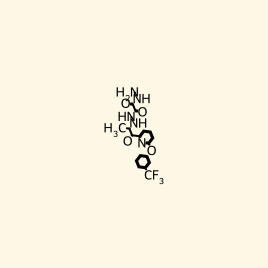 CC(NNC(=O)C(=O)NN)C(=O)c1cccc(Oc2cccc(C(F)(F)F)c2)n1